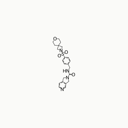 O=C(NCc1ccc(S(=O)(=O)N2CC3(CCOCC3)C2)cc1)N1Cc2ccncc2C1